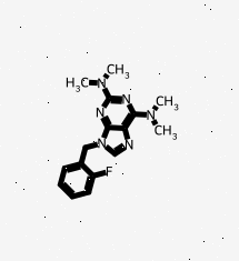 CN(C)c1nc(N(C)C)c2ncn(Cc3ccccc3F)c2n1